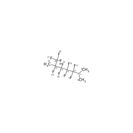 CC(C)C(F)(F)C(F)(F)C(F)(F)C(C)(F)C(F)(F)F